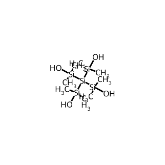 C[Si](C)(O)[Si]([Si](C)(C)O)([Si](C)(C)O)[Si](C)(C)O